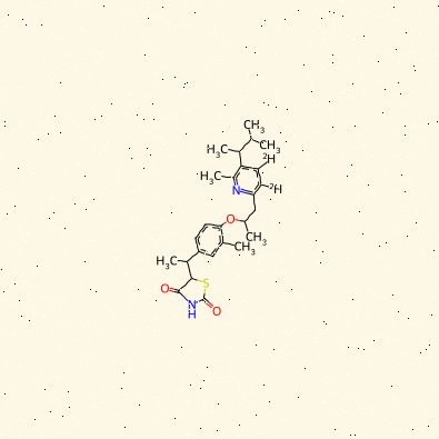 [2H]c1c(CC(C)Oc2ccc(C(C)C3SC(=O)NC3=O)cc2C)nc(C)c(C(C)C(C)C)c1[2H]